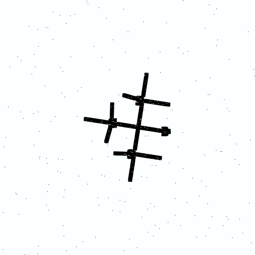 [B]C([Si](C)(C)C)([Si](C)(C)C)[Si](C)(C)C